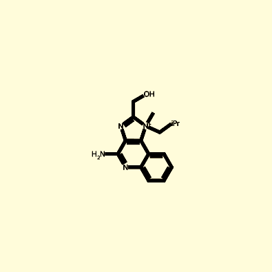 CC(C)C[N+]1(C)C(CO)=Nc2c(N)nc3ccccc3c21